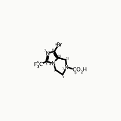 O=C(O)N1CCn2c(C(F)(F)F)nc(Br)c2C1